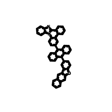 c1ccc2cc3c(cc2c1)oc1ccc(-c2c4ccccc4c(-c4ccc5c(c4)c4ccccc4c4nc6ccccc6n54)c4ccccc24)cc13